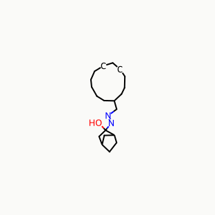 OC1(N=NCC2CCCCCCCCCCC2)CC2CCC1C2